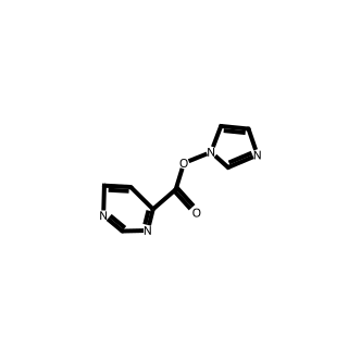 O=C(On1ccnc1)c1ccncn1